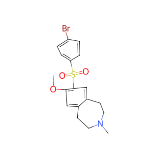 COc1cc2c(cc1S(=O)(=O)c1ccc(Br)cc1)CCN(C)CC2